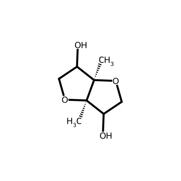 C[C@]12OCC(O)[C@@]1(C)OCC2O